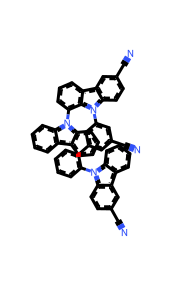 N#Cc1cc(-c2ccccc2-n2c3ccccc3c3cc(C#N)ccc32)cc(-n2c3ccc(C#N)cc3c3cccc(-n4c5ccccc5c5ccccc54)c32)c1